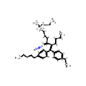 CCCCCc1ccc(C(=C(CCCC)C(=C=[N+]=[N-])CCCC)c2ccc(CC)cc2)cc1.C[CH2][Pd][CH2]C